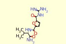 CC(C)[C@H](NC(=O)c1ccc(C(=O)NC(=N)N)o1)C(N)=O